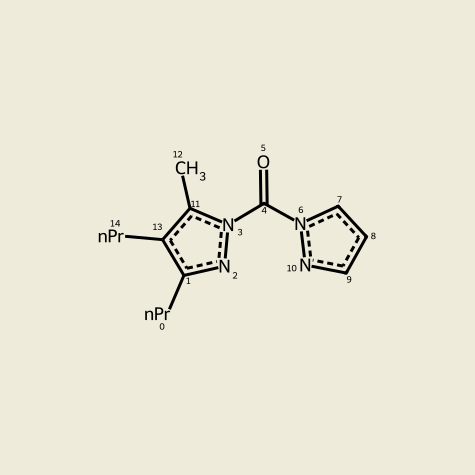 CCCc1nn(C(=O)n2cccn2)c(C)c1CCC